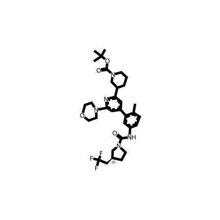 Cc1ccc(NC(=O)N2CC[C@@H](CC(F)(F)F)C2)cc1-c1cc(C2CCCN(C(=O)OC(C)(C)C)C2)nc(N2CCOCC2)c1